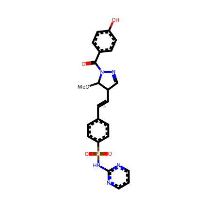 COC1C(/C=C/c2ccc(S(=O)(=O)Nc3ncccn3)cc2)C=NN1C(=O)c1ccc(O)cc1